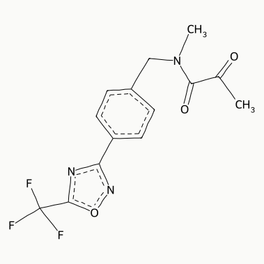 CC(=O)C(=O)N(C)Cc1ccc(-c2noc(C(F)(F)F)n2)cc1